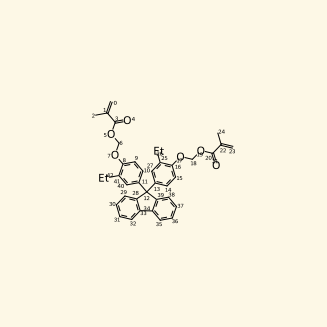 C=C(C)C(=O)OCOc1ccc(C2(c3ccc(OCOC(=O)C(=C)C)c(CC)c3)c3ccccc3-c3ccccc32)cc1CC